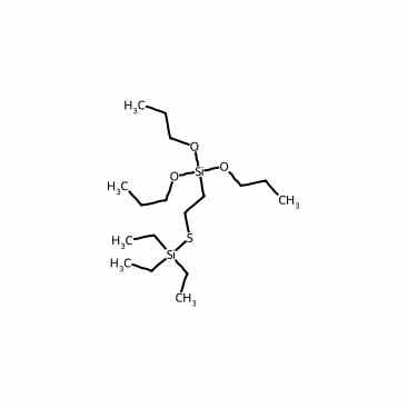 CCCO[Si](CCS[Si](CC)(CC)CC)(OCCC)OCCC